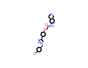 O=C(COc1ccc(-c2cn(Cc3ccc(Cl)cc3)nn2)cc1)Nc1ccc2cnccc2c1